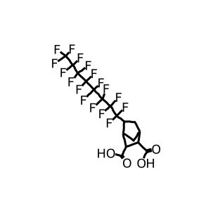 O=C(O)C1C2CC(C1C(=O)O)C(C(F)(F)C(F)(F)C(F)(F)C(F)(F)C(F)(F)C(F)(F)C(F)(F)C(F)(F)F)C2